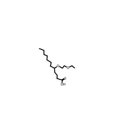 CCCCCCCC(CCCC(O)=S)OCCOCC